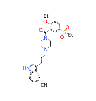 CCOc1ccc(S(=O)(=O)CC)cc1C(=O)N1CCN(CCCc2c[nH]c3ccc(C#N)cc23)CC1